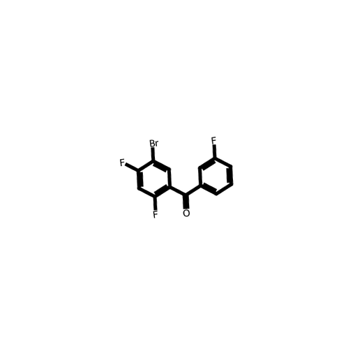 O=C(c1cccc(F)c1)c1cc(Br)c(F)cc1F